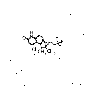 Cc1c(C)n(CCC(F)(F)F)c2ccc3[nH]c(=O)cc(Cl)c3c12